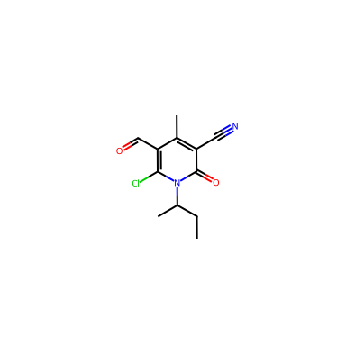 CCC(C)n1c(Cl)c(C=O)c(C)c(C#N)c1=O